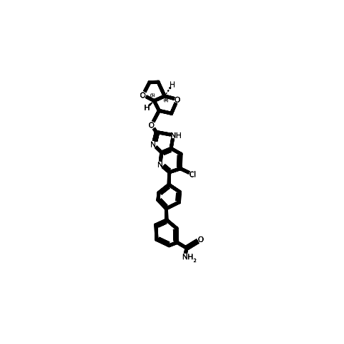 NC(=O)c1cccc(-c2ccc(-c3nc4nc(OC5CO[C@@H]6CCO[C@H]56)[nH]c4cc3Cl)cc2)c1